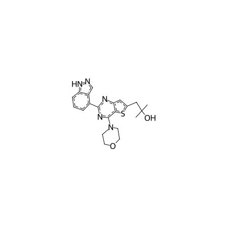 CC(C)(O)Cc1cc2nc(-c3cccc4[nH]ncc34)nc(N3CCOCC3)c2s1